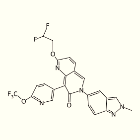 Cn1cc2cc(-n3cc4ccc(OCC(F)F)nc4c(-c4ccc(OC(F)(F)F)nc4)c3=O)ccc2n1